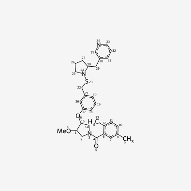 COC1CN(C(=O)c2cc(C)ccc2C)CC1Oc1cccc(CSN2CCCC2Cc2cccnc2)c1